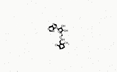 Cc1cccc(Cl)c1CNOC[C@H]1O[C@@H](n2cnc3cncnc32)[C@H](O)[C@@H]1O